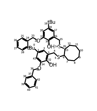 CC(C)(C)c1cc(CSC2CCCCCC[C@@H]2SCc2cc(C(C)(C)C)cc(OCc3ccccc3)c2O)c(O)c(OCc2ccccc2)c1